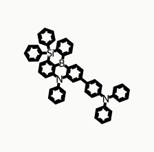 c1ccc(N(c2ccccc2)c2ccc(-c3ccc4c(c3)N(c3ccccc3)c3cccc5c3B4c3ccccc3[Si]5(c3ccccc3)c3ccccc3)cc2)cc1